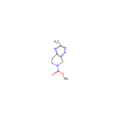 Cc1nnc2c(n1)CCN(C(=O)OC(C)(C)C)C2